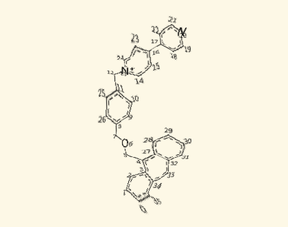 c1ccc2c(COCc3ccc(C[n+]4ccc(-c5ccncc5)cc4)cc3)c3ccccc3cc2c1